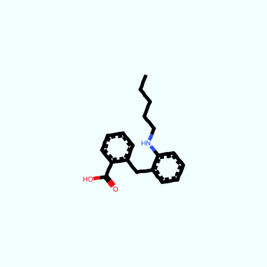 CCCCCNc1ccccc1Cc1ccccc1C(=O)O